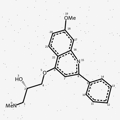 CNC[C@H](O)COc1cc(-c2ccccc2)nc2cc(OC)ccc12